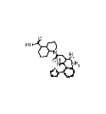 CC(CC(=O)N1CCCC2C(C(=O)O)CCCC21)C(=N)c1c(N)cccc1-c1cccs1